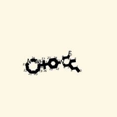 C=C/C=C(\C=C)CN(CCF)c1ccc(C(C)(C)c2cccccnc[nH]2)cc1